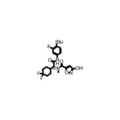 CN(C(=O)c1cc(O)no1)[C@@H](C(=O)Nc1ccc(C(C)(C)C)c(F)c1)C1CCC(F)(F)CC1